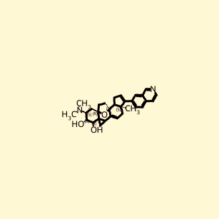 CN(C)[C@H]1C[C@@]23CC[C@@]4(O2)C(=CC[C@]2(C)C(c5ccc6ccncc6c5)=CCC24)C2CC23[C@@H](O)[C@@H]1O